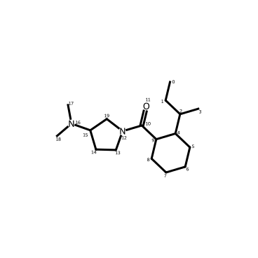 CCC(C)C1CCCCC1C(=O)N1CCC(N(C)C)C1